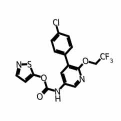 O=C(Nc1cnc(OCC(F)(F)F)c(-c2ccc(Cl)cc2)c1)Oc1ccns1